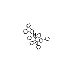 c1ccc(-c2ccc(-c3c(-c4c(-c5ccccc5)n(-c5ccc6c7ccccc7c7ccccc7c6c5)c5ccccc45)c4ccccc4n3-c3ccccc3)cc2)cc1